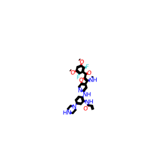 C=CC(=O)Nc1cc(N2CCNCC2)ccc1Nc1cc2c(NC)c(C(=O)c3c(F)c(OC)cc(OC)c3F)oc2cn1